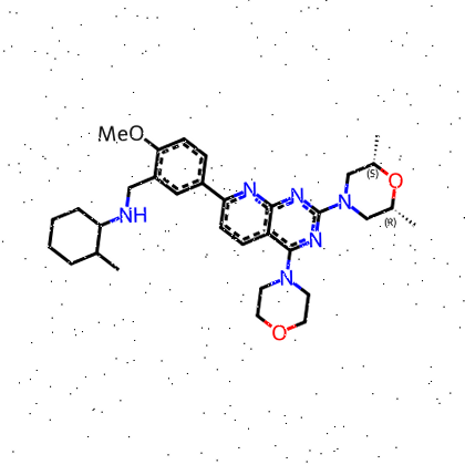 COc1ccc(-c2ccc3c(N4CCOCC4)nc(N4C[C@@H](C)O[C@@H](C)C4)nc3n2)cc1CNC1CCCCC1C